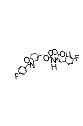 O=C(N[C@H](Cc1ccc(F)cc1)C(=O)O)OCc1ccc2oc(-c3ccc(F)cc3)nc2c1